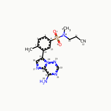 Cc1ccc(S(=O)(=O)N(C)CCC#N)cc1-c1cnc2c(N)ncnn12